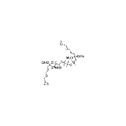 CCC(O[Si](C)(C)C(C)(C)O[Si](C)(C)O[Si](CCCOCC1CO1)(OC)OC)[Si](C)(C)O[Si](CCCOCC1CO1)(OC)OC